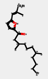 CCOC(=O)/C(C)=C/c1ccc(C(=O)CC(C)CCCC(C)CCCC(C)C)o1